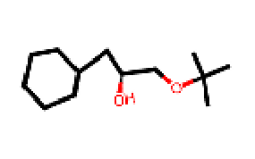 CC(C)(C)OC[C@@H](O)CC1CCCCC1